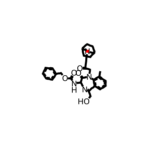 Cc1cccc2c1N(CC(=O)N1CC3CCC(CC3)C1)C(=O)C(NC(=O)OCc1ccccc1)N=C2CO